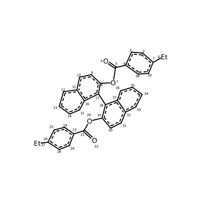 CCc1ccc(C(=O)Oc2ccc3ccccc3c2-c2c(OC(=O)c3ccc(CC)cc3)ccc3ccccc23)cc1